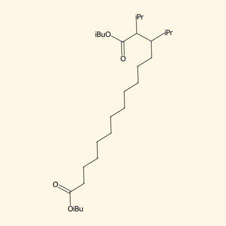 CC(C)COC(=O)CCCCCCCCCCCC(C(C)C)C(C(=O)OCC(C)C)C(C)C